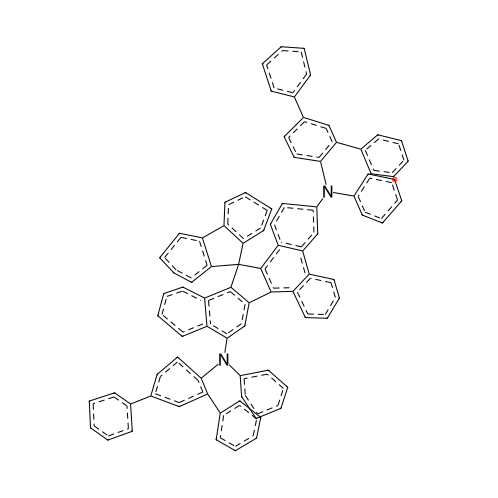 c1ccc(-c2ccc(N(c3ccccc3)c3ccc4c5c(c6ccccc6c4c3)-c3cc(N(c4ccccc4)c4ccc(-c6ccccc6)cc4-c4ccccc4)c4ccccc4c3C53c4ccccc4-c4ccccc43)c(-c3ccccc3)c2)cc1